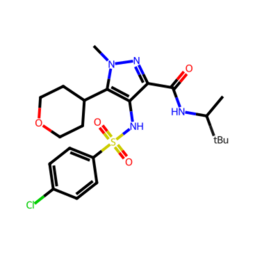 CC(NC(=O)c1nn(C)c(C2CCOCC2)c1NS(=O)(=O)c1ccc(Cl)cc1)C(C)(C)C